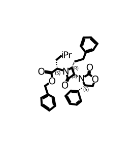 CC(C)C[C@@H](C(=O)OCc1ccccc1)N1C(=O)[C@@H](N2C(=O)OC[C@@H]2c2ccccc2)[C@H]1CCc1ccccc1